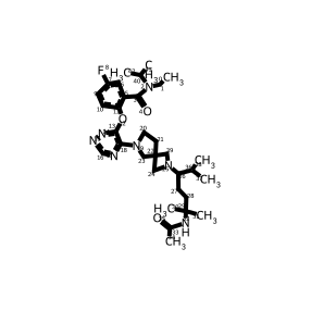 CCN(C(=O)c1cc(F)ccc1Oc1nncnc1N1CCC2(C1)CN(C(CCC(C)(C)NC(C)=O)C(C)C)C2)C(C)C